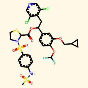 CS(=O)(=O)Nc1ccc(S(=O)(=O)N2CCSC2C(=O)OC(Cc2c(Cl)cncc2Cl)c2ccc(OC(F)F)c(OCC3CC3)c2)cc1